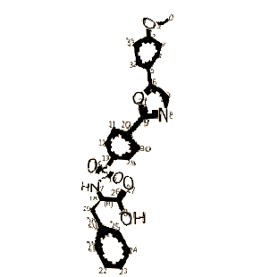 COc1ccc(-c2cnc(-c3ccc(S(=O)(=O)N[C@H](Cc4ccccc4)C(=O)O)cc3)o2)cc1